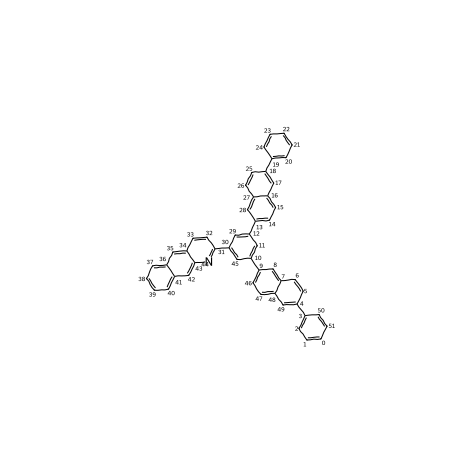 c1ccc(-c2ccc3cc(-c4cc(-c5ccc6cc(-c7ccccc7)ccc6c5)cc(-c5ccc6cc7ccccc7cc6n5)c4)ccc3c2)cc1